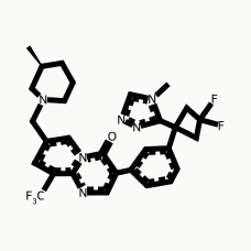 C[C@H]1CCCN(Cc2cc(C(F)(F)F)c3ncc(-c4cccc(C5(c6nncn6C)CC(F)(F)C5)c4)c(=O)n3c2)C1